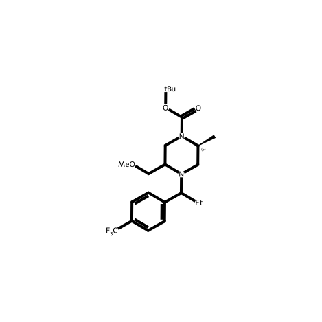 CCC(c1ccc(C(F)(F)F)cc1)N1C[C@H](C)N(C(=O)OC(C)(C)C)CC1COC